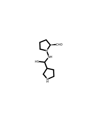 O=C[C@@H]1CCCN1NC(S)C1CCNC1